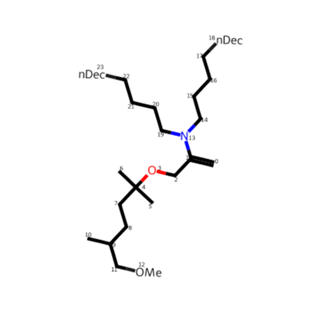 C=C(COC(C)(C)CCC(C)COC)N(CCCCCCCCCCCCCC)CCCCCCCCCCCCCC